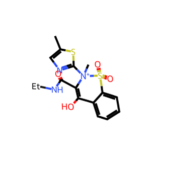 CCNC(=O)C1=C(O)c2ccccc2S(=O)(=O)[N+]1(C)c1ncc(C)s1